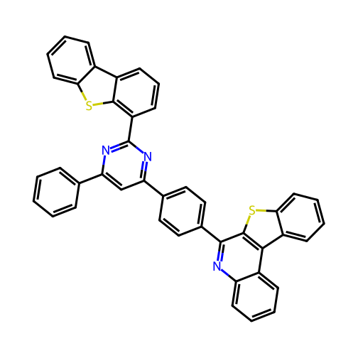 c1ccc(-c2cc(-c3ccc(-c4nc5ccccc5c5c4sc4ccccc45)cc3)nc(-c3cccc4c3sc3ccccc34)n2)cc1